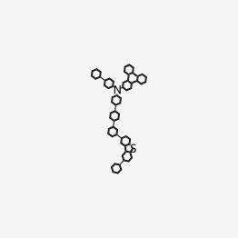 c1ccc(-c2ccc(N(c3ccc(-c4ccc(-c5cccc(-c6ccc7sc8ccc(-c9ccccc9)cc8c7c6)c5)cc4)cc3)c3ccc4c5ccccc5c5ccccc5c4c3)cc2)cc1